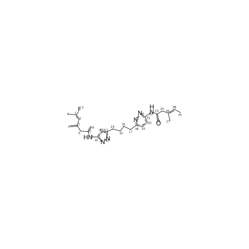 C=C(/C=C(\C)F)CC(=C)Nc1nnc(CCCCc2ccc(NC(=O)C/C(C)=C/C)nn2)s1